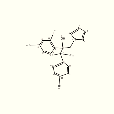 OC(Cn1cnnn1)(c1ccc(F)cc1F)C(F)(F)c1ccc(Br)cn1